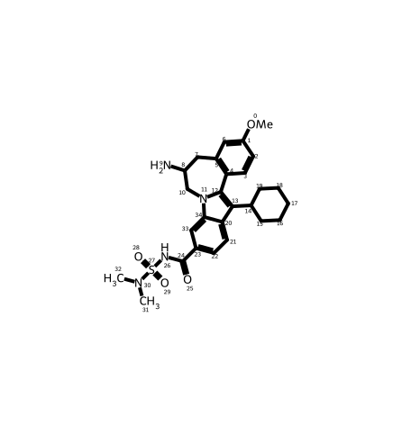 COc1ccc2c(c1)CC(N)Cn1c-2c(C2CCCCC2)c2ccc(C(=O)NS(=O)(=O)N(C)C)cc21